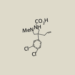 C=CCC(CNC)(CNC(=O)O)c1ccc(Cl)c(Cl)c1